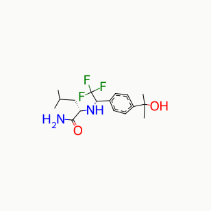 CC(C)C[C@H](N[C@@H](c1ccc(C(C)(C)O)cc1)C(F)(F)F)C(N)=O